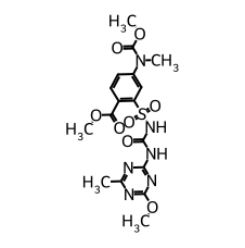 COC(=O)c1ccc(N(C)C(=O)OC)cc1S(=O)(=O)NC(=O)Nc1nc(C)nc(OC)n1